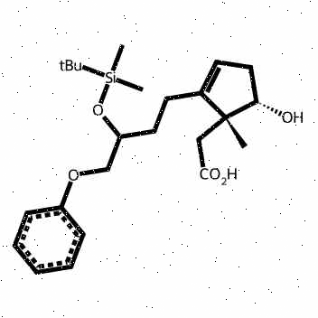 CC(C)(C)[Si](C)(C)OC(CCC1=CC[C@H](O)[C@]1(C)CC(=O)O)COc1ccccc1